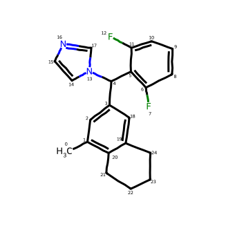 Cc1cc(C(c2c(F)cccc2F)n2ccnc2)cc2c1CCCC2